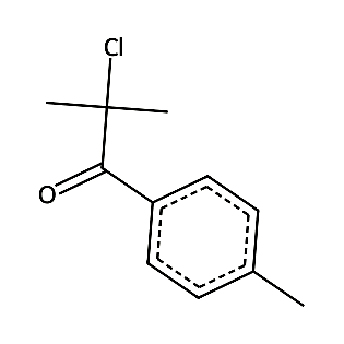 Cc1ccc(C(=O)C(C)(C)Cl)cc1